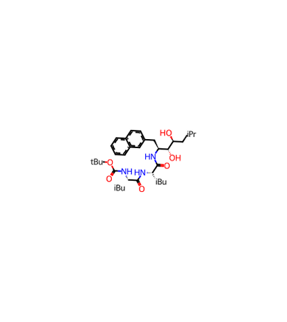 CC[C@H](C)[C@H](NC(=O)OC(C)(C)C)C(=O)N[C@H](C(=O)N[C@@H](Cc1ccc2ccccc2c1)[C@@H](O)[C@@H](O)CC(C)C)[C@@H](C)CC